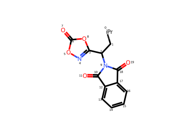 CC(C)CC(c1noc(=O)o1)N1C(=O)c2ccccc2C1=O